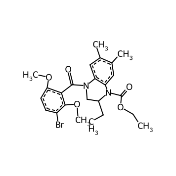 CCOC(=O)N1c2cc(C)c(C)cc2N(C(=O)c2c(OC)ccc(Br)c2OC)CC1CC